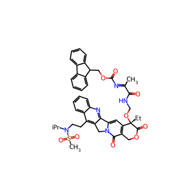 CC[C@@]1(OCNC(=O)C(C)=NC(=O)OCC2c3ccccc3-c3ccccc32)C(=O)OCc2c1cc1n(c2=O)Cc2c-1nc1ccccc1c2CCN(C(C)C)S(C)(=O)=O